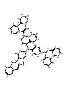 c1ccc2cc3c(cc2c1)sc1cc(N(c2ccc(-c4cc5ccccc5c5ccccc45)cc2)c2ccc(-c4cc5ccccc5c5ccccc45)c4ccccc24)ccc13